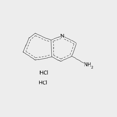 Cl.Cl.Nc1cnc2ccccc2c1